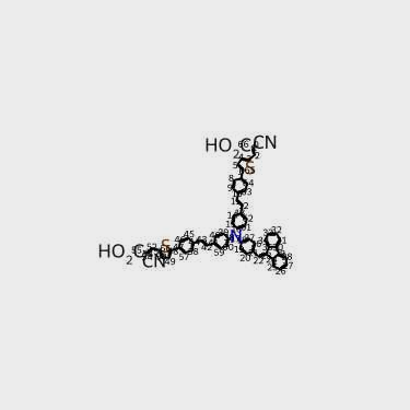 N#C/C(=C/c1ccc(-c2ccc(/C=C/c3ccc(N(c4ccc(C=C5c6ccccc6-c6ccccc65)cc4)c4ccc(/C=C/c5ccc(-c6ccc(/C=C(\C#N)C(=O)O)s6)cc5)cc4)cc3)cc2)s1)C(=O)O